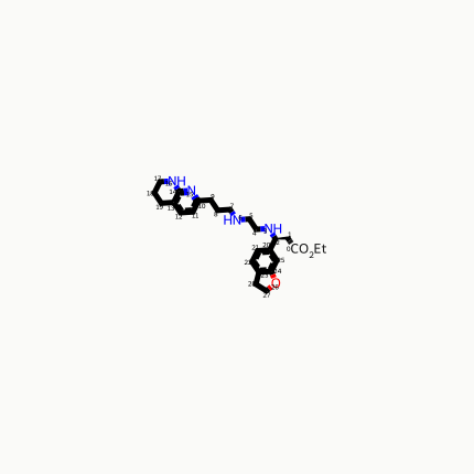 CCOC(=O)C[C@H](NCCNCCCc1ccc2c(n1)NCCC2)c1ccc2c(c1)OCC2